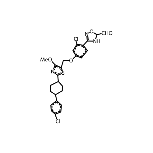 COc1nc(C2CCC(c3ccc(Cl)cc3)CC2)sc1COc1ccc(C2=NOC(C=O)N2)c(Cl)c1